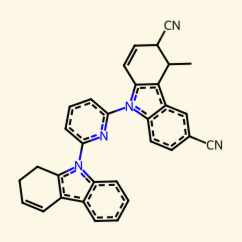 CC1c2c(n(-c3cccc(-n4c5c(c6ccccc64)C=CCC5)n3)c3ccc(C#N)cc23)C=CC1C#N